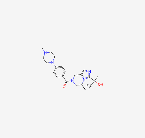 C[C@H]1CN(C(=O)c2ccc(N3CCN(C)CC3)cc2)Cc2cnc(C(C)(O)C(F)(F)F)n21